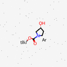 CC(C)(C)OC(=O)N1CC[C@@H](O)C1.[Ar]